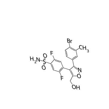 Cc1cc(-c2noc(CO)c2-c2cc(F)c(S(N)(=O)=O)cc2F)ccc1Br